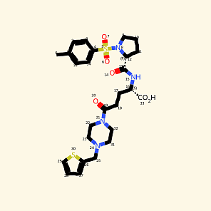 Cc1ccc(S(=O)(=O)N2CCC[C@@H]2C(=O)N[C@@H](CCC(=O)N2CCN(Cc3cccs3)CC2)C(=O)O)cc1